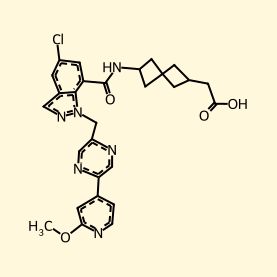 COc1cc(-c2cnc(Cn3ncc4cc(Cl)cc(C(=O)NC5CC6(CC(CC(=O)O)C6)C5)c43)cn2)ccn1